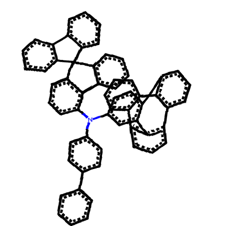 c1ccc(-c2ccc(N(c3ccc4c(c3)-c3c5cccc3-c3cccc-4c3-c3ccccc3-5)c3cccc4c3-c3ccccc3C43c4ccccc4-c4ccccc43)cc2)cc1